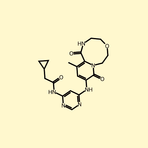 Cc1cc(Nc2cc(NC(=O)CC3CC3)ncn2)c(=O)n2c1C(=O)NCCOCC2